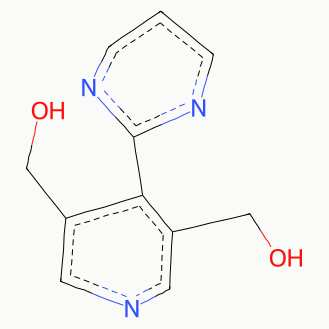 OCc1cncc(CO)c1-c1ncccn1